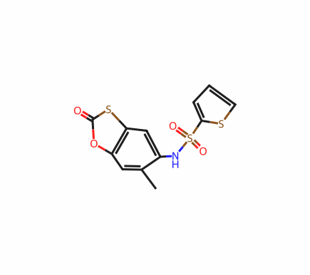 Cc1cc2oc(=O)sc2cc1NS(=O)(=O)c1cccs1